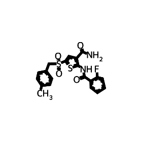 Cc1ccc(CS(=O)(=O)c2cc(C(N)=O)c(NC(=O)c3ccccc3F)s2)cc1